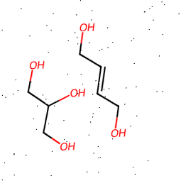 OCC(O)CO.OCC=CCO